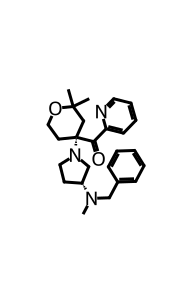 CN(Cc1ccccc1)[C@@H]1CCN([C@]2(C(=O)c3ccccn3)CCOC(C)(C)C2)C1